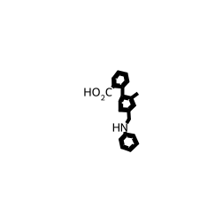 Cc1cc(CNc2ccccc2)ccc1-c1ccccc1C(=O)O